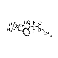 CCOC(=O)C(F)(F)C(O)c1cccc(C[Si](C)(C)C)c1